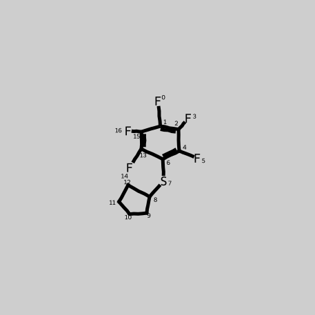 Fc1c(F)c(F)c(SC2CCCC2)c(F)c1F